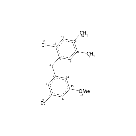 CCc1cc(Cc2cc(C)c(C)cc2Cl)cc(OC)c1